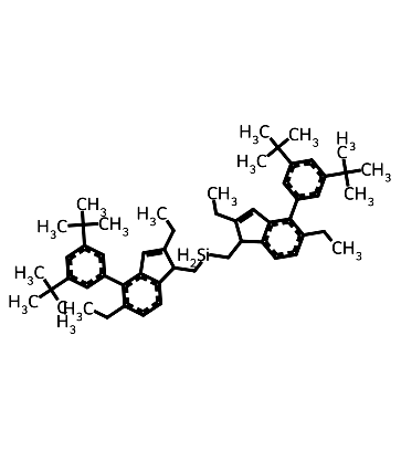 CCC1=Cc2c(ccc(CC)c2-c2cc(C(C)(C)C)cc(C(C)(C)C)c2)C1C[SiH2]CC1C(CC)=Cc2c1ccc(CC)c2-c1cc(C(C)(C)C)cc(C(C)(C)C)c1